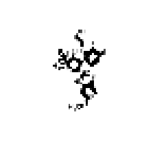 COc1cc(NC(=O)[C@@H]2O[C@@](C)(C(F)(F)F)[C@@H](C)[C@H]2c2ccc(F)c(F)c2OCCO)c(F)cn1